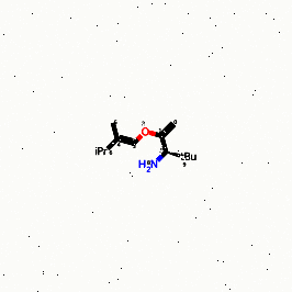 C=C(O/C=C(\C)C(C)C)[C@H](N)C(C)(C)C